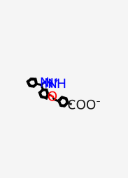 N=[N+]=NC(c1ccccc1)c1cccc(OCc2ccc(C(=O)[O-])cc2)c1